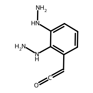 NNc1cccc(C=C=O)c1NN